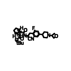 CC(C)(C)OC(=O)N1[C@@H]2CC[C@@H](C2)[C@H]1C(=O)N[C@H](C#N)Cc1ccc(C2CCN(C3COC3)CC2)cc1F